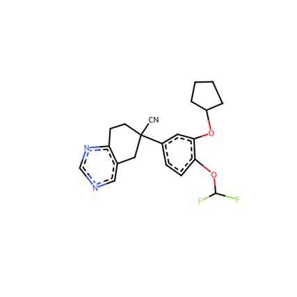 N#CC1(c2ccc(OC(F)F)c(OC3CCCC3)c2)CCc2ncncc2C1